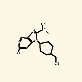 C[C@@H](O)c1nc2cnc(Cl)cc2n1C1CCC(CC#N)CC1